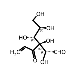 C=CC(=O)[C@](O)([C@H](O)[C@H](O)CO)[C@@H](O)C=O